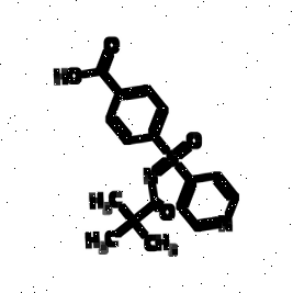 CC(C)(C)C(=O)N=S(=O)(c1ccncc1)c1ccc(C(=O)O)cc1